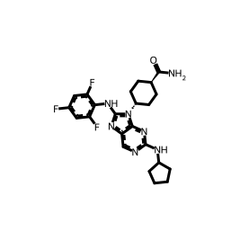 NC(=O)[C@H]1CC[C@H](n2c(Nc3c(F)cc(F)cc3F)nc3cnc(NC4CCCC4)nc32)CC1